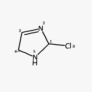 ClC1N=C[C]N1